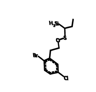 CCC([SiH3])SOCCc1cc(Cl)ccc1Br